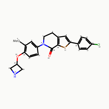 COc1cc(N2CCc3cc(-c4ccc(Cl)cc4)sc3C2=O)ccc1OC1CNC1